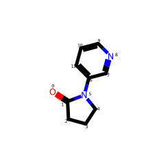 O=C1CCCN1c1[c]nccc1